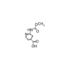 COC(=O)Nc1cc(C(=O)O)ccn1